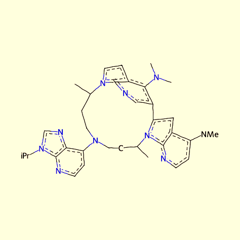 CNc1ccnc2c1cc1n2C(C)CCN(c2ccnc3c2ncn3C(C)C)CCC(C)n2ccc3c(N(C)C)c-1cnc32